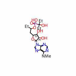 CCC(CC1O[C@@H](n2cnc3c(NC)ncnc32)[C@H](O)[C@@H]1O)OP(=O)(O)C(O)(CC)CC